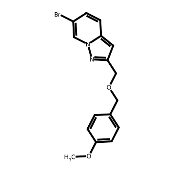 COc1ccc(COCc2cc3ccc(Br)cn3n2)cc1